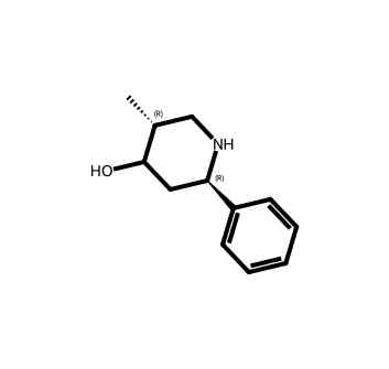 C[C@@H]1CN[C@@H](c2ccccc2)CC1O